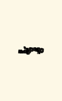 C=CCN(C(=O)OC)c1ccc(OCc2nc3ccccc3o2)cc1C